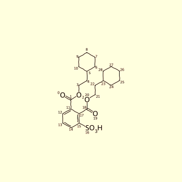 O=C(OCCC1CCCCC1)c1cccc(S(=O)(=O)O)c1C(=O)OCCC1CCCCC1